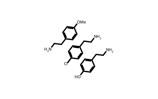 COc1ccc(CCN)cc1.NCCc1ccc(Cl)cc1.NCCc1ccc(O)cc1